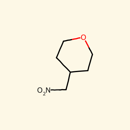 O=[N+]([O-])CC1CCOCC1